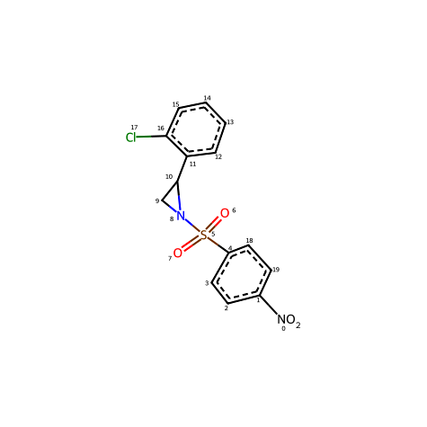 O=[N+]([O-])c1ccc(S(=O)(=O)N2CC2c2ccccc2Cl)cc1